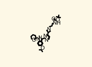 CC(C)Oc1ccc2c(c1)c(-c1nccc(C3CN(CCCNC(=O)OC(C)(C)C)C3)n1)nn2C1CCCCO1